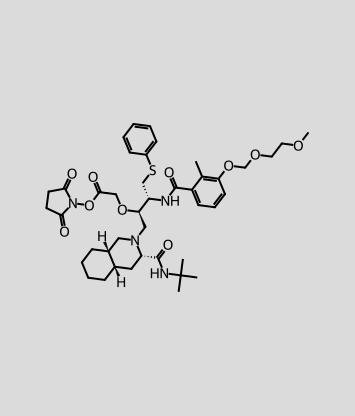 COCCOCOc1cccc(C(=O)N[C@@H](CSc2ccccc2)[C@@H](CN2C[C@H]3CCCC[C@H]3C[C@H]2C(=O)NC(C)(C)C)OCC(=O)ON2C(=O)CCC2=O)c1C